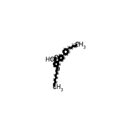 CCCCCCCCOc1ccc(C(=O)O)c(-c2ccc([C@H]3CC[C@H](CCCCC)CC3)cc2)c1